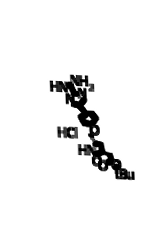 CC(C)(C)OC(=O)C[C@@H]1C[C@@H](COc2ccc(-c3cnc(C(=N)N)nc3)cc2)NC1=O.Cl